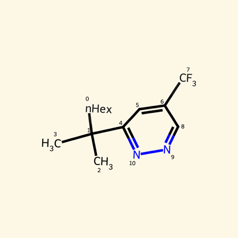 CCCCCCC(C)(C)c1cc(C(F)(F)F)cnn1